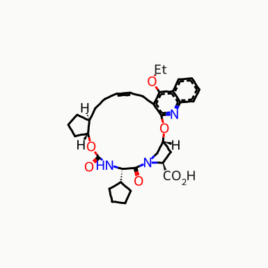 CCOc1c2c(nc3ccccc13)O[C@@H]1C[C@@H](C(=O)O)N(C1)C(=O)[C@H](C1CCCC1)NC(=O)O[C@@H]1CCC[C@H]1CCC=CC2